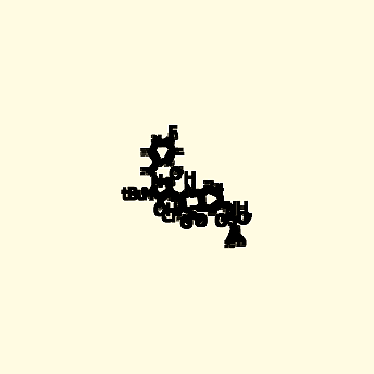 CC(C)(C)[C@H]1C(O)=C(C2=C(Cl)S(=O)(=O)c3cc(NS(=O)(=O)C4CC4)ccc3N2)C(=O)N1Cc1ccc(F)cc1